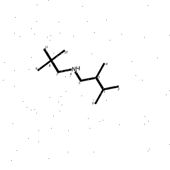 CC(C)C(C)CNCC(C)(C)C